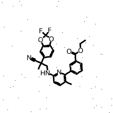 CCOC(=O)c1cccc(-c2nc(NCC(C)(C#N)c3ccc4c(c3)OC(F)(F)O4)ccc2C)c1